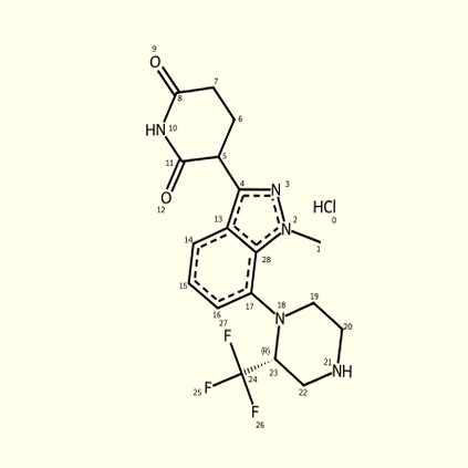 Cl.Cn1nc(C2CCC(=O)NC2=O)c2cccc(N3CCNC[C@@H]3C(F)(F)F)c21